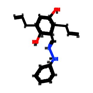 C=CCc1cc(O)c(CC=C)c(/C=N/Nc2ccccc2)c1O